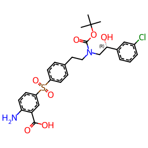 CC(C)(C)OC(=O)N(CCc1ccc(S(=O)(=O)c2ccc(N)c(C(=O)O)c2)cc1)C[C@H](O)c1cccc(Cl)c1